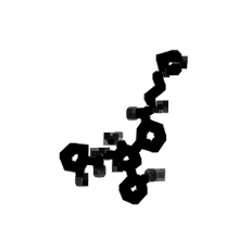 N#Cc1c(-c2cccc(C(=O)NCCCn3ccnc3)c2)cc(-c2ccccc2O)nc1NC(=O)c1ccccc1Cl